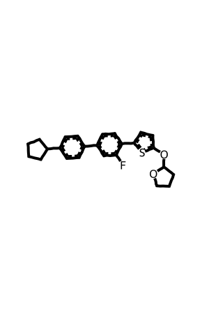 Fc1cc(-c2ccc(C3CCCC3)cc2)ccc1-c1ccc(OC2CCCO2)s1